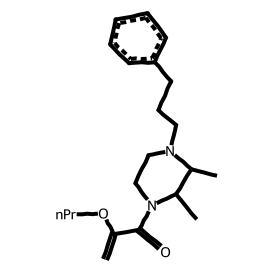 C=C(OCCC)C(=O)N1CCN(CCCc2ccccc2)C(C)C1C